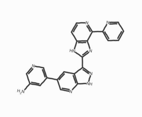 Nc1cncc(-c2cnc3[nH]nc(-c4nc5c(-c6ccccn6)nccc5[nH]4)c3c2)c1